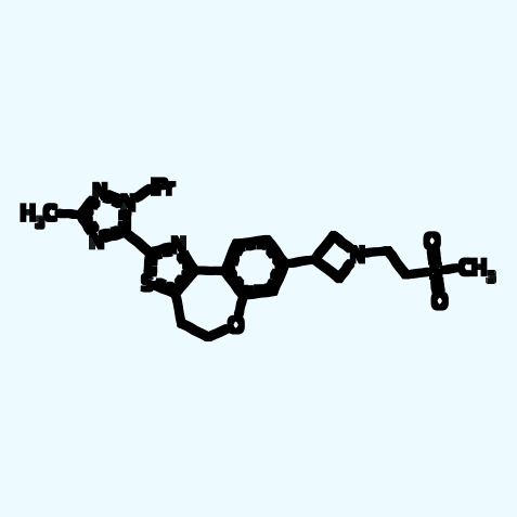 Cc1nc(-c2nc3c(s2)CCOc2cc(C4CN(CCS(C)(=O)=O)C4)ccc2-3)n(C(C)C)n1